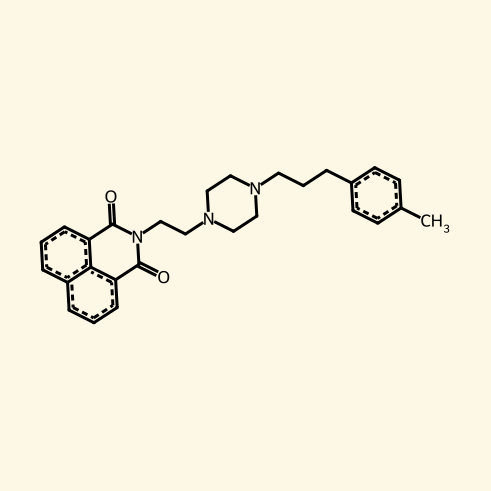 Cc1ccc(CCCN2CCN(CCN3C(=O)c4cccc5cccc(c45)C3=O)CC2)cc1